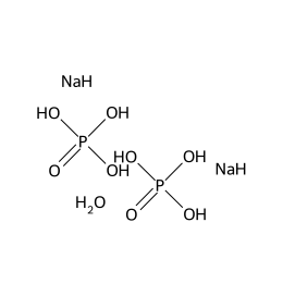 O.O=P(O)(O)O.O=P(O)(O)O.[NaH].[NaH]